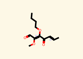 C/C=C/C(=O)/C(OCCCC)=C(/C=O)OC